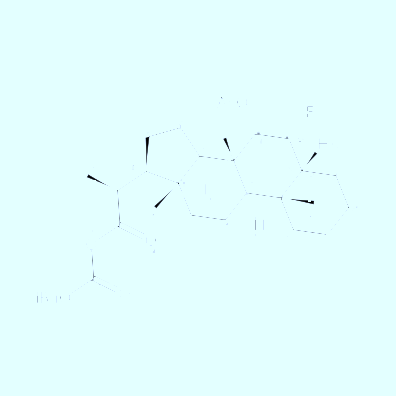 CC[C@H]1[C@@H](OC(C)=O)[C@@H]2[C@H](CC[C@]3(C)[C@@H]([C@H](C)C(=O)OC(=O)OCC(C)C)CC[C@@H]23)[C@@]2(C)CCCC[C@@H]12